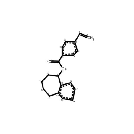 C=Cc1ccc(C(=O)OC2CCCCc3ccccc32)cc1